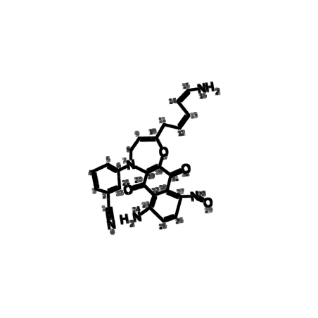 N#Cc1cccc(N2CC=C(C/C=C\C=C/N)OC3=C2C(=O)c2c(N)ccc(N=O)c2C3=O)c1